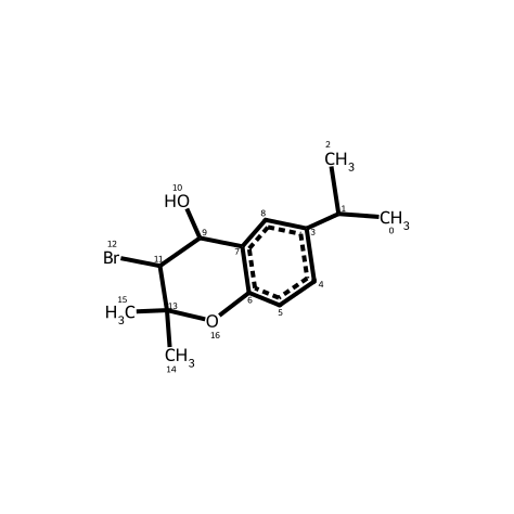 CC(C)c1ccc2c(c1)C(O)C(Br)C(C)(C)O2